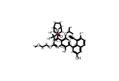 C#Cc1c(F)ccc2cc(O)cc(-c3nc(OC(C)C)c4c(N5CC6CCC(C5)N6C(=O)C(F)(F)F)nc(OCCOC)nc4c3F)c12